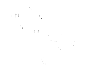 Cc1cccc2cc(C(C)Nc3ncnc4[nH]cnc34)c(-c3ccccc3Cl)nc12